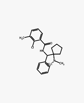 Cc1cccc(C(=O)NC(c2ccccc2)C2(N(C)C)CCCC2)c1Cl